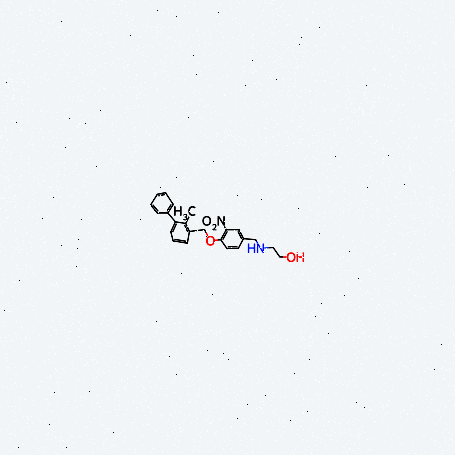 Cc1c(COc2ccc(CNCCO)cc2[N+](=O)[O-])cccc1-c1ccccc1